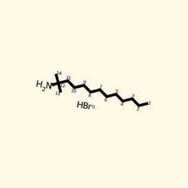 Br.CCCCCCCCCCCC(C)(C)N